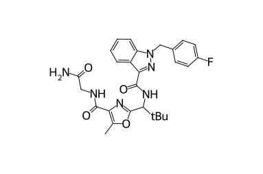 Cc1oc(C(NC(=O)c2nn(Cc3ccc(F)cc3)c3ccccc23)C(C)(C)C)nc1C(=O)NCC(N)=O